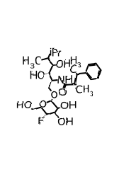 CC(C)C(C)[C@@H](O)[C@@H](O)[C@H](CO[C@H]1OC(CO)[C@@H](F)C(O)C1O)NC(=O)C(C)C(C)c1ccccc1